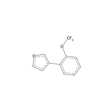 FC(F)(F)Oc1ccccc1-c1c[c]oc1